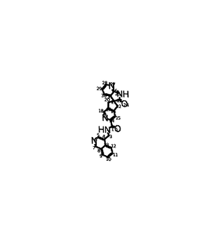 O=C(NCc1cncc2ccccc12)c1cc2c(cn1)CC1(C2)C(=O)Nc2ncccc21